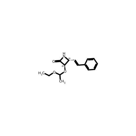 CCOC(C)O[C@H]1C(=O)N[C@@H]1C=Cc1ccccc1